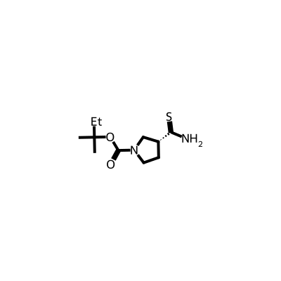 CCC(C)(C)OC(=O)N1CC[C@@H](C(N)=S)C1